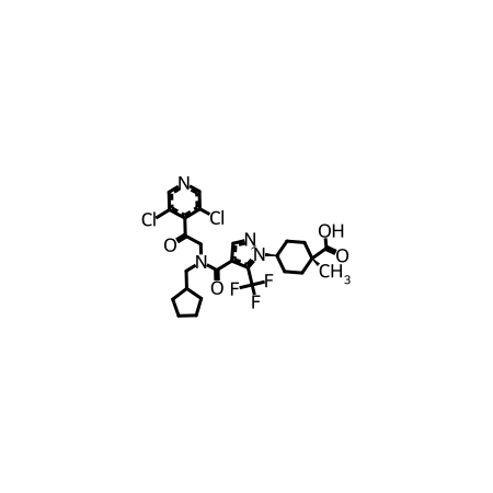 C[C@]1(C(=O)O)CC[C@H](n2ncc(C(=O)N(CC(=O)c3c(Cl)cncc3Cl)CC3CCCC3)c2C(F)(F)F)CC1